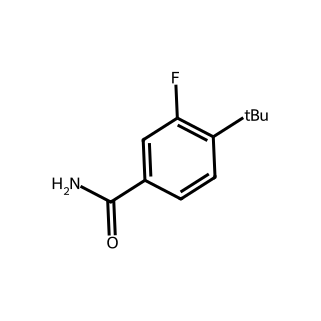 CC(C)(C)c1ccc(C(N)=O)cc1F